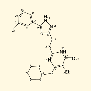 CCc1c(CC2CCCCC2)nc(SCc2cc(-c3cccc(C)c3)[nH]n2)[nH]c1=O